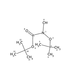 [CH]N(OC(C)(C)C)C(=O)OC(C)(C)C